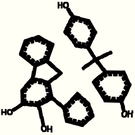 CC(C)(c1ccc(O)cc1)c1ccc(O)cc1.Oc1cc2c(c(-c3ccccc3)c1O)Cc1ccccc1-2